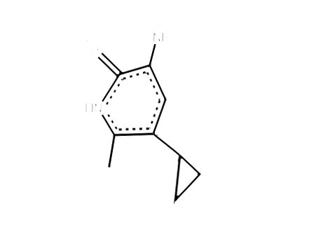 Cc1[nH]c(=O)c(N)cc1C1CC1